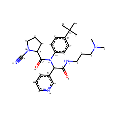 CN(C)CCCNC(=O)C(c1cccnc1)N(C(=O)C1CCCN1C#N)c1ccc(C(C)(C)C)cc1